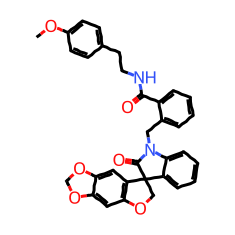 COc1ccc(CCNC(=O)c2ccccc2CN2C(=O)C3(COc4cc5c(cc43)OCO5)c3ccccc32)cc1